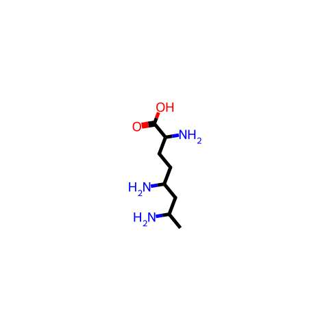 CC(N)CC(N)CCC(N)C(=O)O